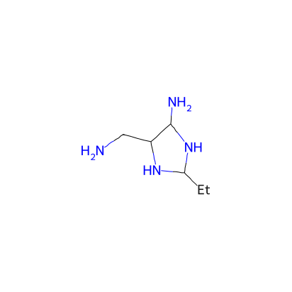 CCC1NC(N)C(CN)N1